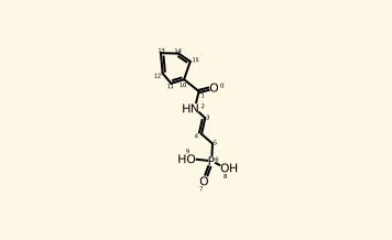 O=C(NC=CCP(=O)(O)O)c1ccccc1